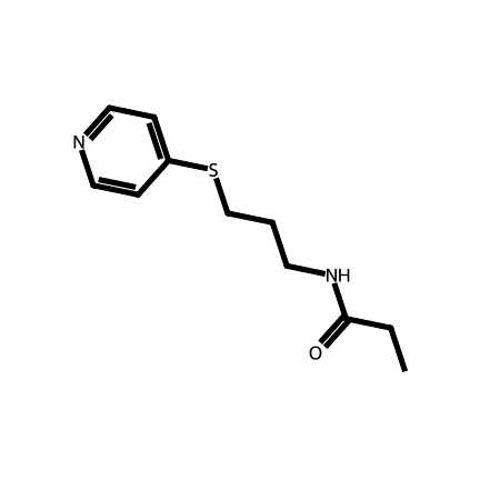 CCC(=O)NCCCSc1ccncc1